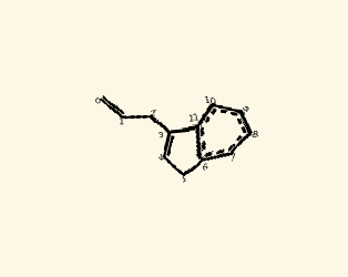 C=CCC1=CCc2ccccc21